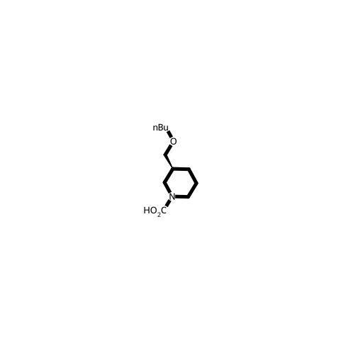 CCCCOC[C@H]1CCCN(C(=O)O)C1